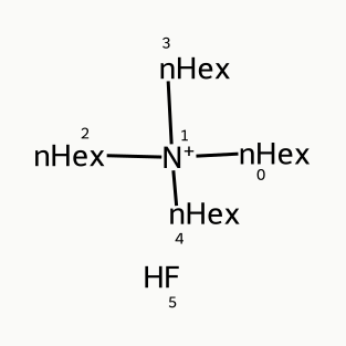 CCCCCC[N+](CCCCCC)(CCCCCC)CCCCCC.F